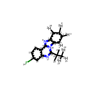 [2H]c1c([2H])c([2H])c2c(nc3c4ccc(F)cc4nc(C(C)(C)C([2H])([2H])[2H])n32)c1[2H]